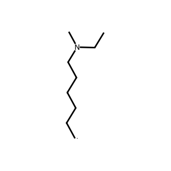 [CH2]CCCCCN(C)CC